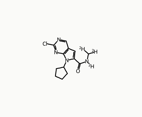 [2H]C([2H])N([2H])C(=O)c1cc2cnc(Cl)nc2n1C1CCCC1